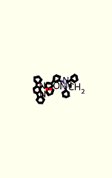 C=N/C(=N\C(=N/Cc1ccccc1)c1cccc2c1oc1ccc(-n3c4ccccc4c4ccc5c6ccccc6n(-c6ccccc6)c5c43)cc12)c1ccccc1